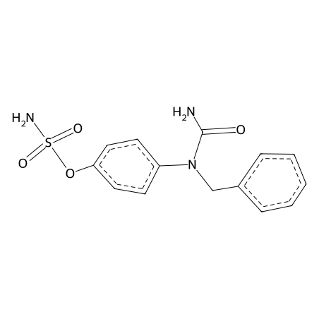 NC(=O)N(Cc1ccccc1)c1ccc(OS(N)(=O)=O)cc1